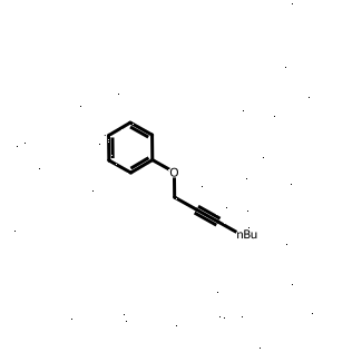 CCCCC#CCOc1cc[c]cc1